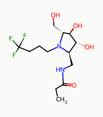 CCC(=O)NC[C@@H]1[C@@H](O)[C@H](O)[C@@H](CO)N1CCCC(F)(F)F